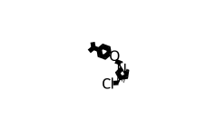 CC(C)c1ccc(OCCN2CC[C@@H](CCl)C2)cc1